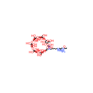 C=CC(=O)NC/C(N)=C/N(N)CCCCCCNCC1OC(C(O)O)OC2C(CO)OC(OC3C(CO)OC(OC4C(CO)OC(OC5C(CO)OC(OC6C(CO)OC(OC7C(CO)OC(OC1C)C(O)C7O)C(O)C6O)C(O)C5O)C(O)C4O)C(O)C3O)C(O)C2O